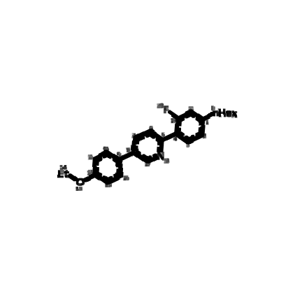 CCCCCCc1ccc(-c2ccc(-c3ccc(OCC)cc3)cn2)c(F)c1